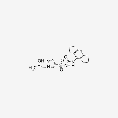 CC(O)Cn1cc(S(=O)(=O)NC(=O)Nc2c3c(cc4c2CCC4)CCC3)cn1